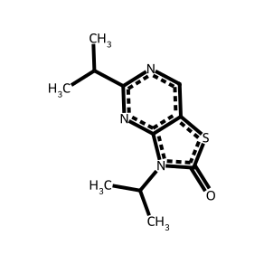 CC(C)c1ncc2sc(=O)n(C(C)C)c2n1